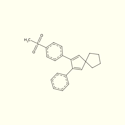 CS(=O)(=O)c1ccc(C2=CC3(C=C2c2ccccc2)CCCC3)cc1